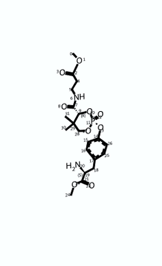 COC(=O)CCNC(=O)[C@@H]1O[P@](=O)(Oc2ccc(C[C@H](N)C(=O)OC)cc2)OCC1(C)C